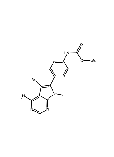 Cn1c(-c2ccc(NC(=O)OC(C)(C)C)cc2)c(Br)c2c(N)ncnc21